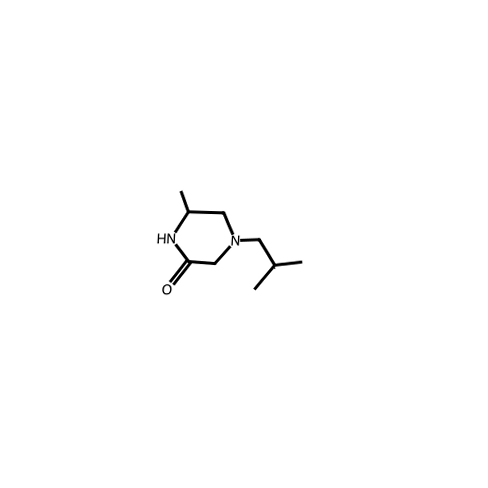 C[C](C)CN1CC(=O)NC(C)C1